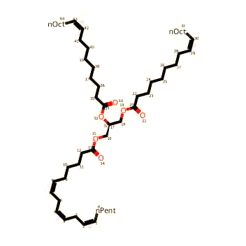 CCCCC/C=C\C/C=C\C/C=C\CCCCC(=O)OC[C@H](COC(=O)CCCCCCC/C=C\CCCCCCCC)OC(=O)CCCCCCC/C=C\CCCCCCCC